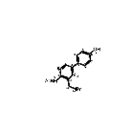 CC(=O)Nc1ncc(-c2ccc(O)cc2)nc1CC(C)C